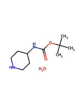 CC(C)(C)OC(=O)NC1CCNCC1.O